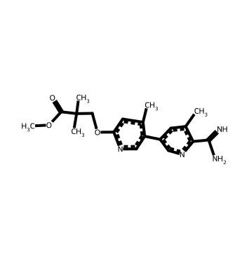 COC(=O)C(C)(C)COc1cc(C)c(-c2cnc(C(=N)N)c(C)c2)cn1